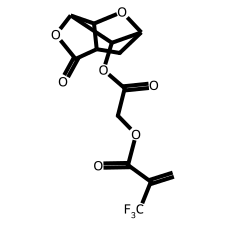 C=C(C(=O)OCC(=O)OC1C2CC3C(=O)OC1C3O2)C(F)(F)F